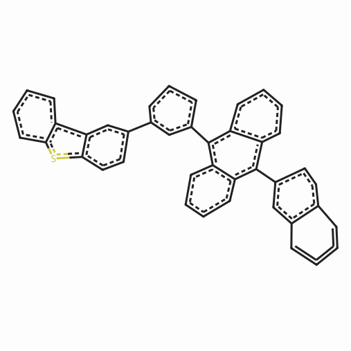 C1=C=Cc2cc(-c3c4ccccc4c(-c4cccc(-c5ccc6sc7ccccc7c6c5)c4)c4ccccc34)ccc2C=1